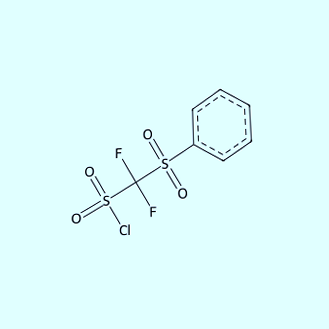 O=S(=O)(Cl)C(F)(F)S(=O)(=O)c1ccccc1